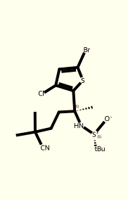 CC(C)(C#N)CC[C@](C)(N[S@+]([O-])C(C)(C)C)c1sc(Br)cc1Cl